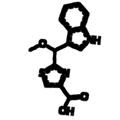 COC(c1nc(C(=O)O)cs1)c1c[nH]c2ccccc12